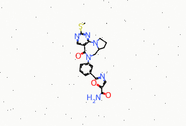 CSc1ncc2c(n1)N1CCCC1CN(c1cccc(-c3ncc(C(N)=O)o3)c1)C2=O